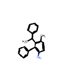 Cc1ccc(N)c(-c2ccccc2)c1C(C)c1ccccc1